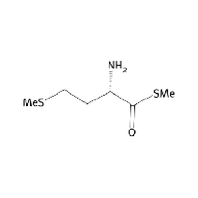 CSCC[C@H](N)C(=O)SC